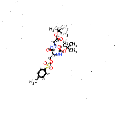 Cc1ccc(S(=O)(=O)OC[C@H](NC(=O)OC(C)(C)C)C(=O)NCC(=O)OC(C)(C)C)cc1